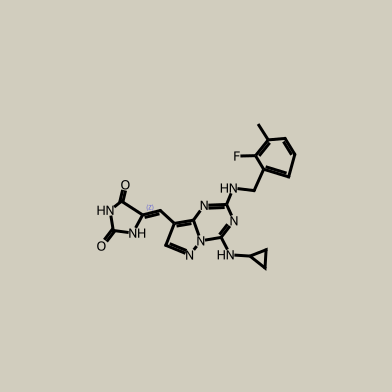 Cc1cccc(CNc2nc(NC3CC3)n3ncc(/C=C4\NC(=O)NC4=O)c3n2)c1F